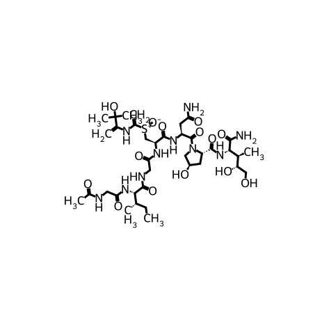 C=C(NC(=C)C(C)(C)O)[S+]([O-])C[C@H](NC(=O)CNC(=O)[C@@H](NC(=O)CNC(C)=O)[C@@H](C)CC)C(=O)N[C@@H](CC(N)=O)C(=O)N1C[C@H](O)C[C@H]1C(=O)N[C@H](C(N)=O)[C@@H](C)[C@@H](O)CO